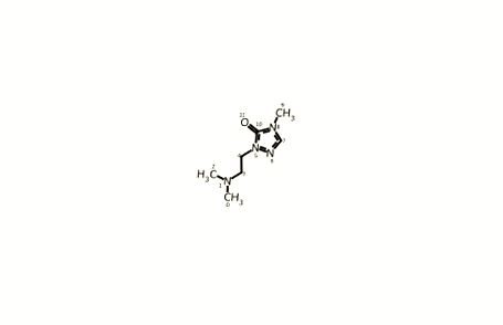 CN(C)CCn1ncn(C)c1=O